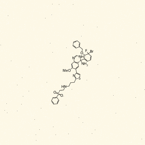 COc1cc2c(cc1-c1csc(CCCNCCS(=O)(=O)c3ccccc3)n1)C(N)(C1=CC=CC(F)(Br)C1OCc1ccccc1)NC=N2